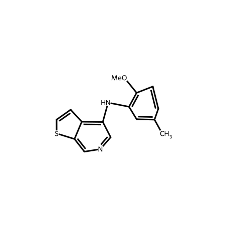 COc1ccc(C)cc1Nc1cncc2sccc12